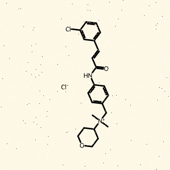 C[N+](C)(Cc1ccc(NC(=O)C=Cc2cccc(Cl)c2)cc1)C1CCOCC1.[Cl-]